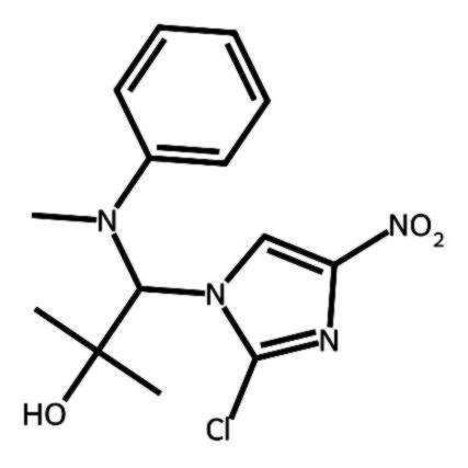 CN(c1ccccc1)C(n1cc([N+](=O)[O-])nc1Cl)C(C)(C)O